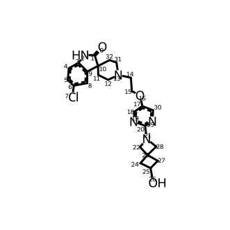 O=C1Nc2ccc(Cl)cc2C12CCN(CCOc1cnc(N3CC4(CC(O)C4)C3)nc1)CC2